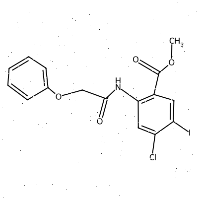 COC(=O)c1cc(I)c(Cl)cc1NC(=O)COc1ccccc1